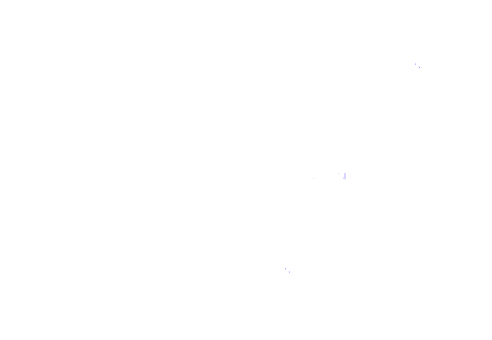 CCOCCCOc1ccc(-c2ccc3c(c2)C=C(C(=O)Nc2ccc(CN(C)C4CCOCC4)cc2)CCN3C)cc1